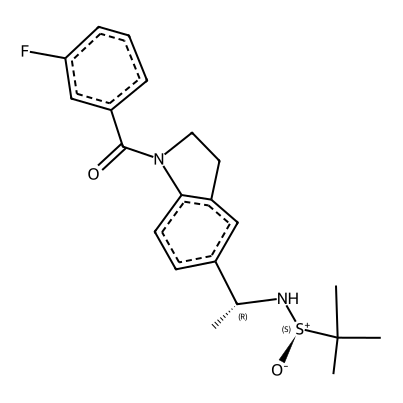 C[C@@H](N[S@+]([O-])C(C)(C)C)c1ccc2c(c1)CCN2C(=O)c1cccc(F)c1